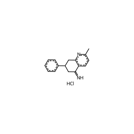 Cc1ccc2c(n1)CC(c1ccccc1)CC2=N.Cl